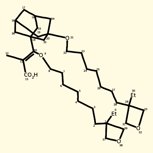 CCC1(CCCCCCCOC(=C(C)C(=O)O)C23CC4CC(CC(OCCCCCCCC5(CC)COC5)(C4)C2)C3)COC1